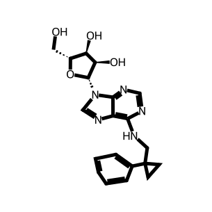 OC[C@H]1O[C@@H](n2cnc3c(NCC4(c5ccccc5)CC4)ncnc32)[C@H](O)[C@@H]1O